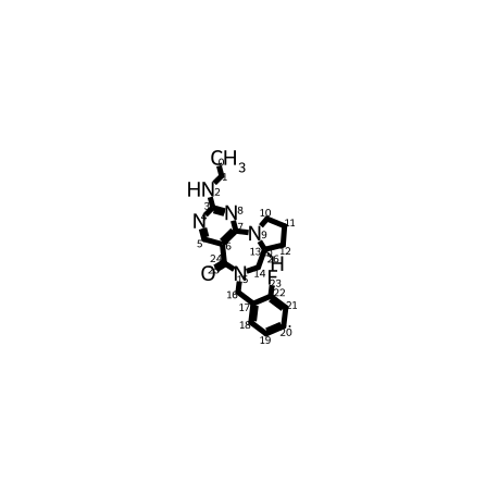 CCNc1ncc2c(n1)N1CCC[C@H]1CN(Cc1cc[c]cc1F)C2=O